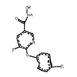 CCc1ccc(Oc2ncc(C(=O)NO)cc2F)cc1